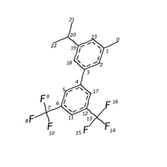 Cc1cc(-c2cc(C(F)(F)F)cc(C(F)(F)F)c2)cc(C(C)C)c1